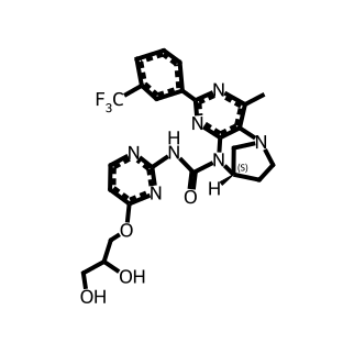 Cc1nc(-c2cccc(C(F)(F)F)c2)nc2c1N1CC[C@@H](C1)N2C(=O)Nc1nccc(OCC(O)CO)n1